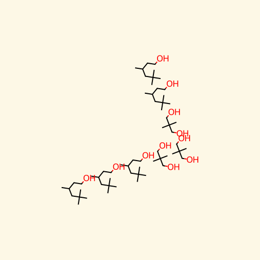 CC(C)(CO)CO.CC(C)(CO)CO.CC(C)(CO)CO.CC(CCO)CC(C)(C)C.CC(CCO)CC(C)(C)C.CC(CCO)CC(C)(C)C.CC(CCO)CC(C)(C)C.CC(CCO)CC(C)(C)C